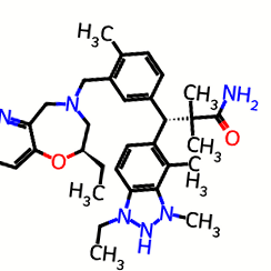 CC[C@@H]1CN(Cc2cc([C@@H](c3ccc4c(c3C)N(C)NN4CC)C(C)(C)C(N)=O)ccc2C)Cc2ncccc2O1